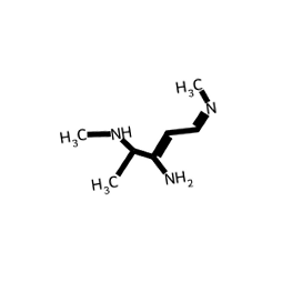 C/N=C\C=C(/N)C(C)NC